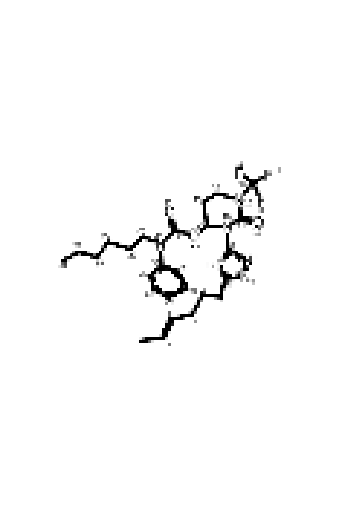 CC=CCCCc1nnc(N2C(=O)N(C(F)(F)F)CCC2OC(=O)N(CCCCCC)c2ccccc2)s1